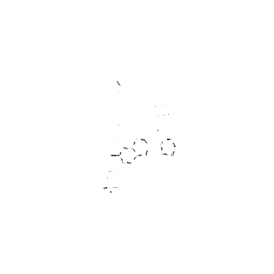 C[C@@H](Nc1ncnc2c1cc(N1CCS(=O)(=O)CC1)c(=O)n2CCCOCCCC=O)c1cccc(C(F)(F)CC2CNC2)c1